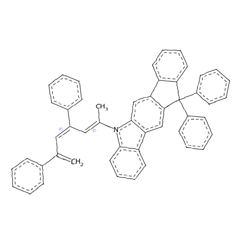 C=C(/C=C(\C=C(/C)n1c2ccccc2c2cc3c(cc21)-c1ccccc1C3(c1ccccc1)c1ccccc1)c1ccccc1)c1ccccc1